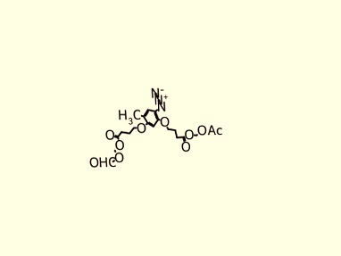 CC(=O)OCOC(=O)CCCOc1cc(OCCCC(=O)OCOC=O)c(C)cc1N=[N+]=[N-]